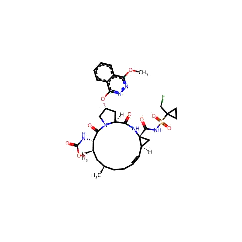 COc1nnc(O[C@@H]2C[C@H]3C(=O)N[C@]4(C(=O)NS(=O)(=O)C5(CF)CC5)C[C@H]4/C=C\CC[C@@H](C)C[C@@H](C)[C@H](NC(=O)O)C(=O)N3C2)c2ccccc12